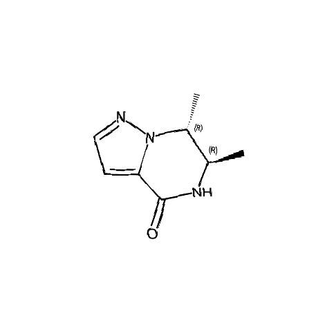 C[C@@H]1[C@@H](C)NC(=O)c2ccnn21